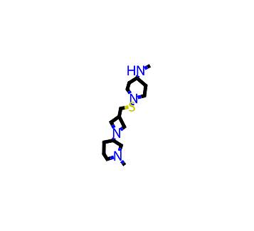 CNC1CCN(SCC2CN(C3CCCN(C)C3)C2)CC1